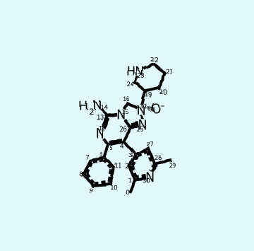 Cc1cc(C2=C(c3ccccc3)N=C(N)N3C[N+]([O-])(C4CCCNC4)N=C23)cc(C)n1